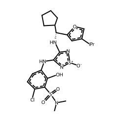 CC(C)c1coc([C@H](Nc2n[s+]([O-])nc2Nc2ccc(Cl)c(S(=O)(=O)N(C)C)c2O)C2CCCC2)c1